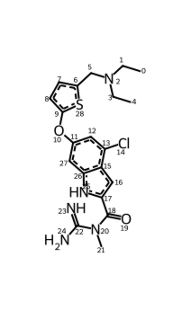 CCN(CC)Cc1ccc(Oc2cc(Cl)c3cc(C(=O)N(C)C(=N)N)[nH]c3c2)s1